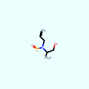 C=CCN([PH2]=O)C(CO)C(=O)O